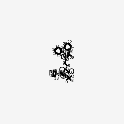 CC(C)(C)OC(=O)[C@H](CCCO[Si](c1ccccc1)(c1ccccc1)C(C)(C)C)OC(=O)n1ccnc1